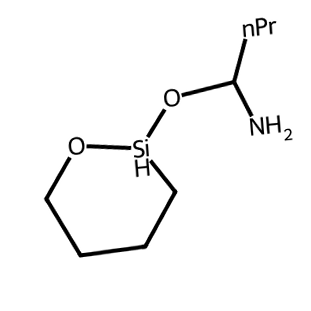 CCCC(N)O[SiH]1CCCCO1